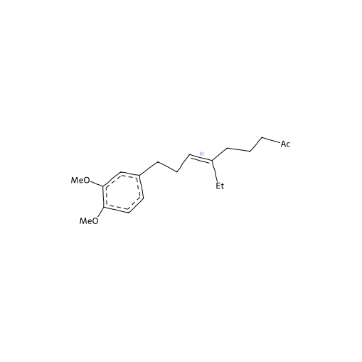 CC/C(=C\CCc1ccc(OC)c(OC)c1)CCCC(C)=O